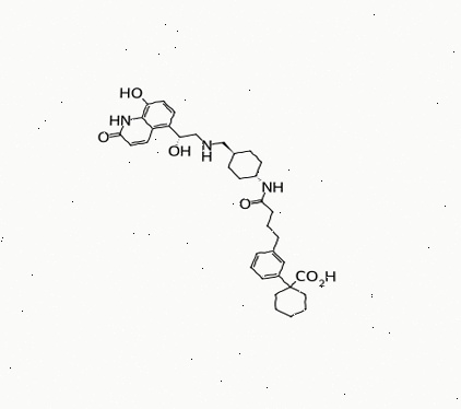 O=C(CCCc1cccc(C2(C(=O)O)CCCCC2)c1)N[C@H]1CC[C@H](CNC[C@H](O)c2ccc(O)c3[nH]c(=O)ccc23)CC1